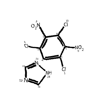 O=[N+]([O-])c1c(Cl)cc(Cl)c([N+](=O)[O-])c1Cl.c1nc[nH]n1